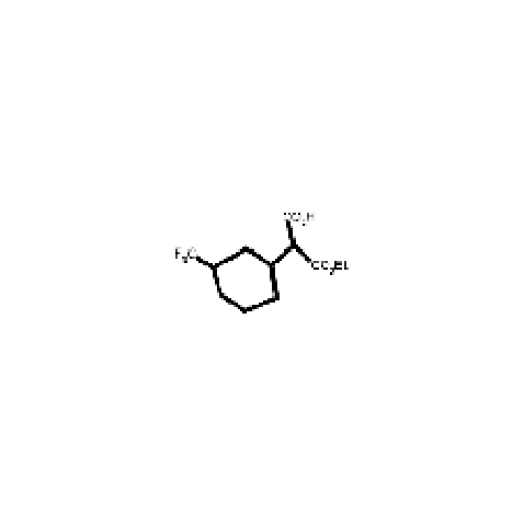 CCOC(=O)C(C(=O)O)C1CCCC(C(F)(F)F)C1